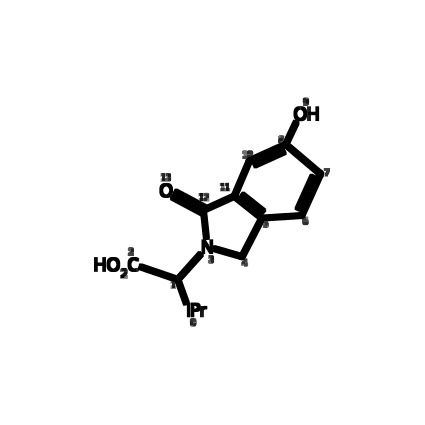 CC(C)C(C(=O)O)N1Cc2ccc(O)cc2C1=O